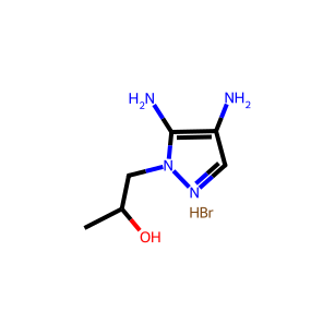 Br.CC(O)Cn1ncc(N)c1N